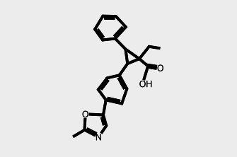 CCC1(C(=O)O)C(c2ccccc2)C1c1ccc(-c2cnc(C)o2)cc1